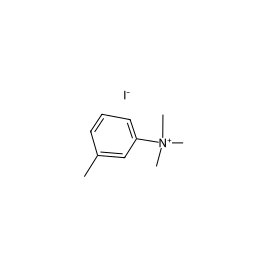 Cc1cccc([N+](C)(C)C)c1.[I-]